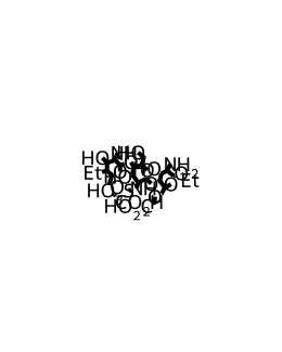 CCOC1OC(COCC(=O)O)C(OC2OC(CO)C(OC3OC(COCC(=O)O)C(CC)C(O)C3N)C(O)C2NS(=O)(=O)O)C(O)C1N